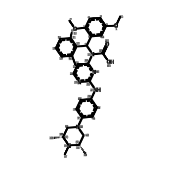 COc1ccc(OC)c(C(c2c(C)cccc2C)N(C(=O)O)c2ccnc(Nc3ccc(N4C[C@@H](C)N(C)[C@@H](C)C4)cc3)n2)c1